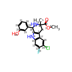 COC(=O)C1(C)Cc2c([nH]c3cc(F)c(Cl)cc23)C(c2cccc(O)c2)N1